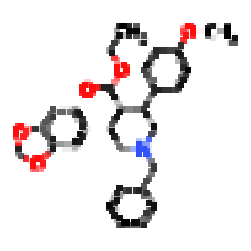 CCOC(=O)C1C(c2ccc(OC)cc2)CN(Cc2ccccc2)CC1c1ccc2c(c1)OCO2